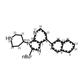 CCCCc1nc2c(-c3ccc4ccccc4c3)ccnc2n1C1CCNCC1